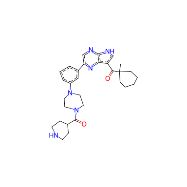 CC1(C(=O)c2c[nH]c3ncc(-c4cccc(N5CCN(C(=O)C6CCNCC6)CC5)c4)nc23)CCCCC1